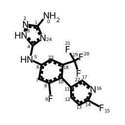 Nc1n[nH]c(Nc2cc(F)c(-c3ccc(F)nc3)c(C(F)(F)F)c2)n1